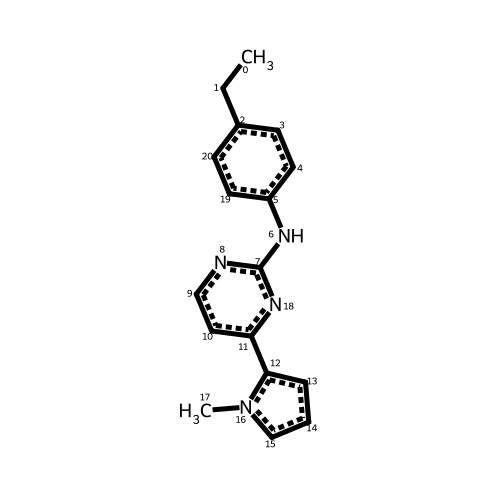 CCc1ccc(Nc2nccc(-c3cccn3C)n2)cc1